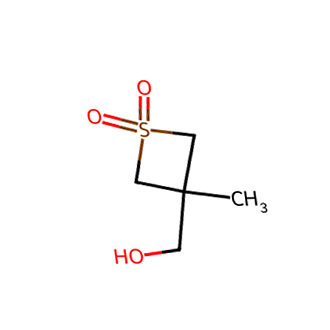 CC1(CO)CS(=O)(=O)C1